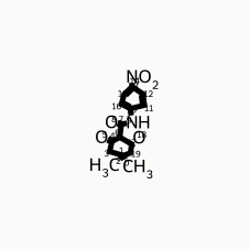 CC1(C)CC(=O)C(C(=O)Nc2ccc([N+](=O)[O-])cc2)C(=O)C1